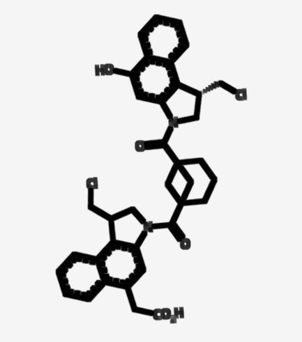 O=C(O)Cc1cc2c(c3ccccc13)C(CCl)CN2C(=O)C12CCCC(C(=O)N3C[C@@H](CCl)c4c3cc(O)c3ccccc43)(C1)C2